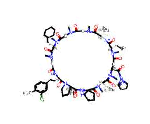 CC[C@H](C)[C@@H]1NC(=O)[C@H](CC(C)C)N(C)C(=O)C[C@@H](C(=O)N2CCCC2)N(C)C(=O)[C@H]([C@@H](C)CC)N(C)C(=O)C2(CCCC2)NC(=O)[C@@H]2CCCN2C(=O)[C@H](CCc2ccc(C(F)(F)F)c(Cl)c2)NC(=O)CN(C)C(=O)[C@H](CC2CCCCC2)N(C)C(=O)CN(C)C(=O)CN(C)C1=O